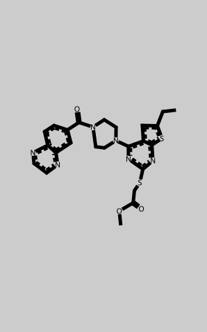 CCc1cc2c(N3CCN(C(=O)c4ccc5nccnc5c4)CC3)nc(SCC(=O)OC)nc2s1